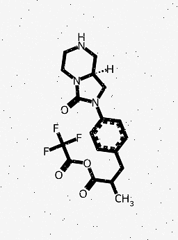 CC(Cc1ccc(N2C[C@@H]3CNCCN3C2=O)cc1)C(=O)OC(=O)C(F)(F)F